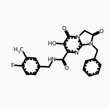 Cc1cc(CNC(=O)c2nc3n(c(=O)c2O)CC(=O)N3Cc2ccccc2)ccc1F